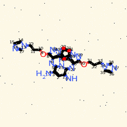 N=C1C=C(N)/C(=N/c2c(OCCCn3ccnc3)nn3ccccc23)N/C1=N\c1c(OCCCn2ccnc2)nn2ccccc12